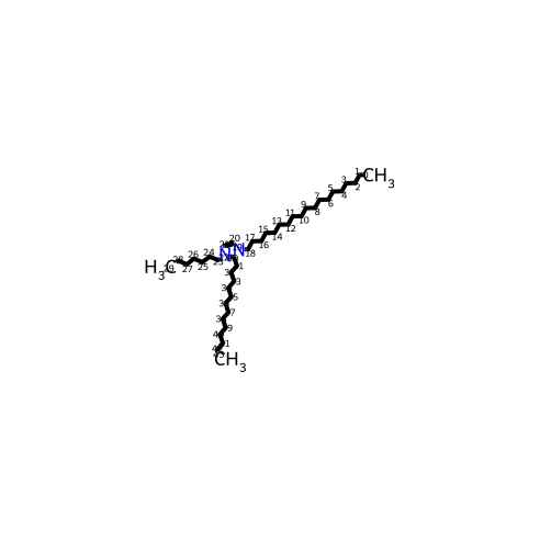 CCCCCCCCCCCCCCCCCCCN1C=CN(CCCCCCC)C1CCCCCCCCCCCCC